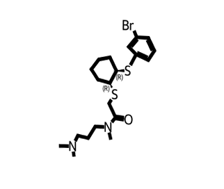 CN(C)CCCN(C)C(=O)CS[C@@H]1CCCC[C@H]1Sc1cccc(Br)c1